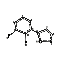 Fc1cccc(-c2ccno2)c1F